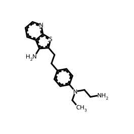 CCN(CCN)c1ccc(CCc2sc3ncccc3c2N)cc1